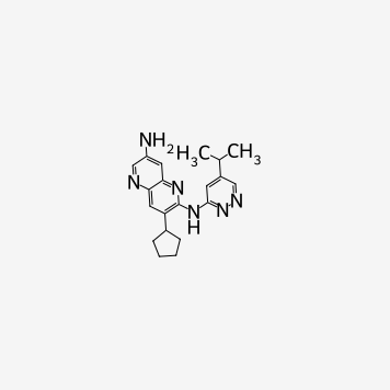 CC(C)c1cnnc(Nc2nc3cc(N)cnc3cc2C2CCCC2)c1